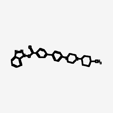 CC1CCC(N2CCN(c3ccc(-c4ccc(C(=O)On5nnc6ccccc65)cc4)cc3)CC2)CC1